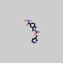 O=C(NO)c1ccc2c(c1)CN(C(=O)OCc1cccnc1)C2